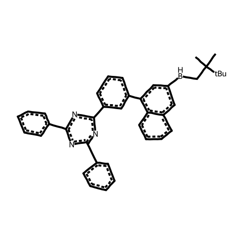 CC(C)(C)C(C)(C)CBc1cc(-c2cccc(-c3nc(-c4ccccc4)nc(-c4ccccc4)n3)c2)c2ccccc2c1